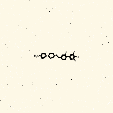 Cc1ccc([C@H]2CC[C@H](CCc3ccc(-c4cc(F)c(Cl)c(F)c4)c(F)c3)CC2)cc1